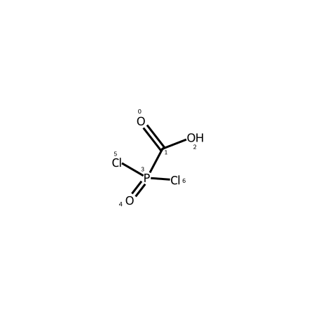 O=C(O)P(=O)(Cl)Cl